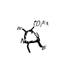 CCOC(=O)c1nc(Br)c(C)nc1Br